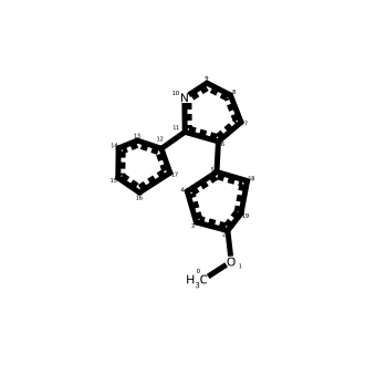 COc1ccc(-c2cccnc2-c2ccccc2)cc1